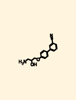 N#Cc1cccc(-c2ccc(OCC(O)CN)cc2)c1